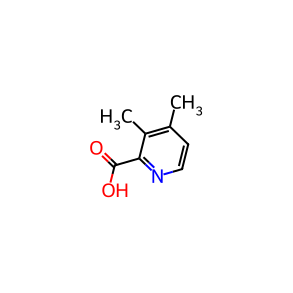 Cc1ccnc(C(=O)O)c1C